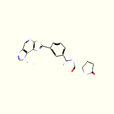 C[C@H](NC(=O)[C@@H]1CCC(=O)N1)c1cccc(-c2nc3c(ncc4ncn(C)c43)s2)c1